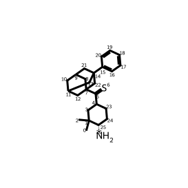 CC1(C)CC(C(=S)C23CC4CC(C2)CC(c2ccccc2)(C4)C3)CC[C@@H]1N